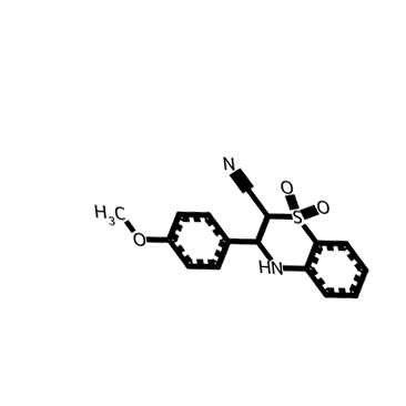 COc1ccc(C2Nc3ccccc3S(=O)(=O)C2C#N)cc1